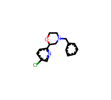 Clc1ccc(C2CN(Cc3ccccc3)CCO2)nc1